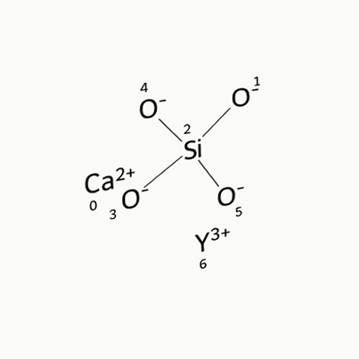 [Ca+2].[O-][Si]([O-])([O-])[O-].[Y+3]